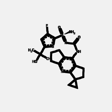 CC(C)(O)c1cc(F)c([S@@](N)(=O)=NC(=O)Nc2c3c(nc4c2CCC42CC2)CCC3)s1